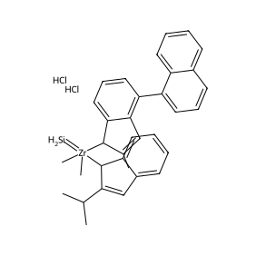 CC1=Cc2c(-c3cccc4ccccc34)cccc2[CH]1[Zr]([CH3])([CH3])(=[SiH2])[CH]1C(C(C)C)=Cc2ccccc21.Cl.Cl